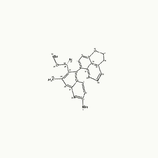 CNc1ccc2c(-c3ccc4c5c(ccnc35)CCO4)c([C@H](OC(C)(C)C)C(C)=O)c(C)cc2n1